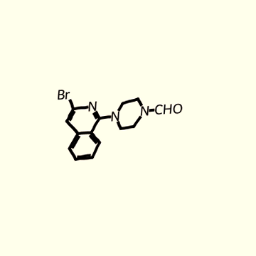 O=CN1CCN(c2nc(Br)cc3ccccc23)CC1